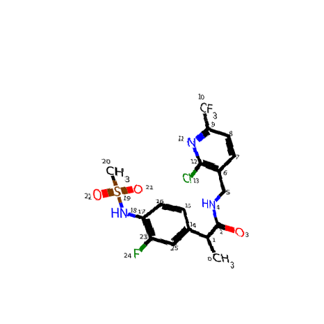 CC(C(=O)NCc1ccc(C(F)(F)F)nc1Cl)c1ccc(NS(C)(=O)=O)c(F)c1